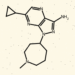 CN1CCCC(n2nc(N)c3ncc(C4CC4)nc32)CC1